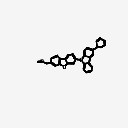 C=NCc1ccc2c(c1)oc1cc(-n3c4ccccc4c4cc(-c5ccccc5)ccc43)ccc12